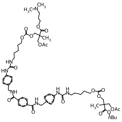 CCCCOC(=O)C(C)(COC(C)=O)COC(=O)OCCCCCNC(=O)Nc1ccc(CNC(=O)c2ccc(C(=O)NCc3ccc(NC(=O)NCCCCCOC(=O)OCC(C)(COC(C)=O)C(=O)OCCCN(C)C)cc3)cc2)cc1